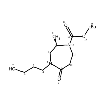 C[C@@H]1CN(CCCO)C(=O)CCN1C(=O)OC(C)(C)C